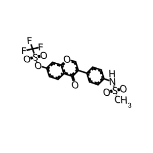 CS(=O)(=O)Nc1ccc(-c2coc3cc(OS(=O)(=O)C(F)(F)F)ccc3c2=O)cc1